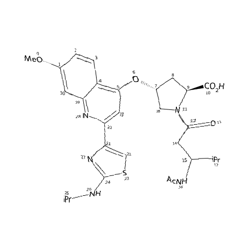 COc1ccc2c(O[C@@H]3C[C@@H](C(=O)O)N(C(=O)CC(NC(C)=O)C(C)C)C3)cc(-c3csc(NC(C)C)n3)nc2c1